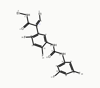 CC/C=C(\C(=O)NCC)c1cc(NC(=O)Nc2cc(F)cc(F)c2)c(F)cc1F